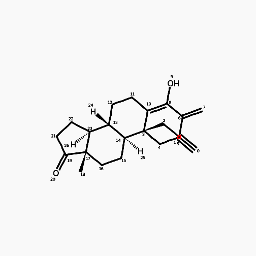 C#CC[C@]12CCC(=C)C(O)=C1CC[C@@H]1[C@@H]2CC[C@]2(C)C(=O)CC[C@@H]12